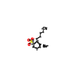 N#CCCCCc1ccccc1S(=O)(=O)[O-].[Na+]